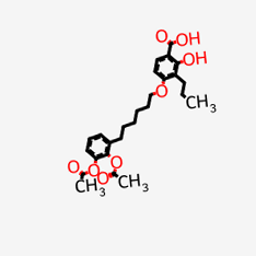 CCCc1c(OCCCCCCc2cccc(OC(C)=O)c2OC(C)=O)ccc(C(=O)O)c1O